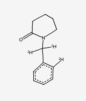 [2H]c1ccccc1C([2H])([2H])N1CCCCC1=O